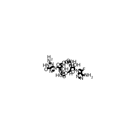 Nc1nc2c(ncn2[C@@H]2OC3COP(=O)(O)O[C@H]4[C@@H](O)[C@H](n5cc(F)c6c(N)ncnc65)O[C@@H]4COP(=O)(O)O[C@@H]2[C@@H]3O)c(=O)[nH]1